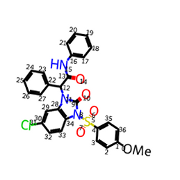 COc1ccc(S(=O)(=O)n2c(=O)n(C(C(=O)Nc3ccccc3)c3ccccc3)c3cc(Cl)ccc32)cc1